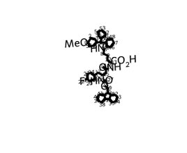 COc1ccc(C(NCCCCC(NC(=O)CC(Cc2ccc(F)cc2)NC(=O)OCC2c3ccccc3-c3ccccc32)C(=O)O)(c2ccccc2)c2ccccc2)cc1